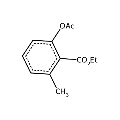 CCOC(=O)c1c(C)cccc1OC(C)=O